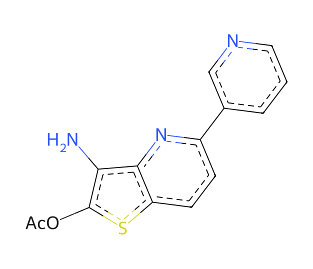 CC(=O)Oc1sc2ccc(-c3cccnc3)nc2c1N